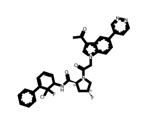 CC(=O)c1cn(CC(=O)N2C[C@H](F)C[C@H]2C(=O)NC2C=CC=C(c3ccccc3)C2(F)Cl)c2ccc(-c3ccnnc3)cc12